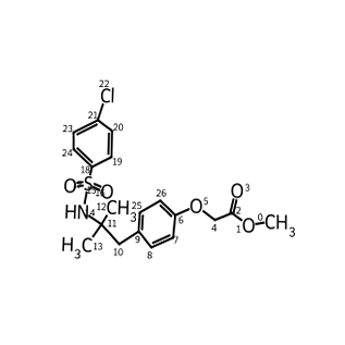 COC(=O)COc1ccc(CC(C)(C)NS(=O)(=O)c2ccc(Cl)cc2)cc1